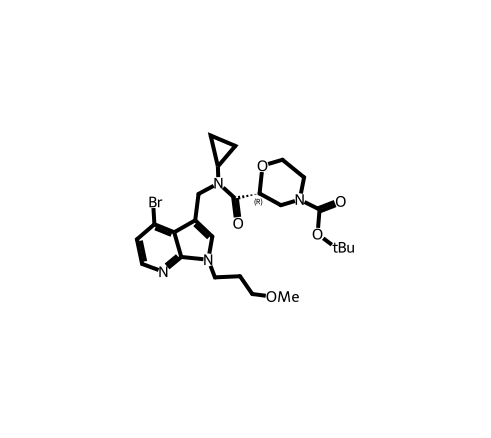 COCCCn1cc(CN(C(=O)[C@H]2CN(C(=O)OC(C)(C)C)CCO2)C2CC2)c2c(Br)ccnc21